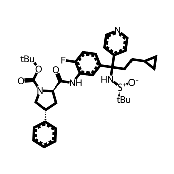 CC(C)(C)OC(=O)N1C[C@@H](c2ccccc2)C[C@@H]1C(=O)Nc1cc(C(CCC2CC2)(N[S@+]([O-])C(C)(C)C)c2ccncc2)ccc1F